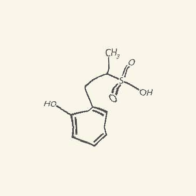 CC(Cc1ccccc1O)S(=O)(=O)O